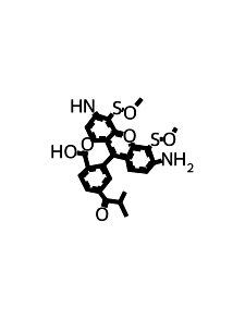 COSc1c2oc3c(SOC)c(N)ccc3c(-c3cc(C(=O)C(C)C)ccc3C(=O)O)c-2ccc1=N